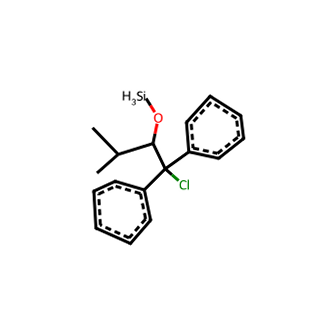 CC(C)C(O[SiH3])C(Cl)(c1ccccc1)c1ccccc1